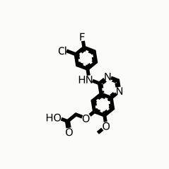 COc1cc2ncnc(Nc3ccc(F)c(Cl)c3)c2cc1OCC(=O)O